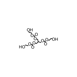 O=C(OCCO)OCC(COC(=O)OCCO)COC(=O)OCCO